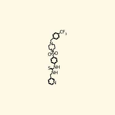 O=S(=O)(c1ccc(NC(=S)NCc2cccnc2)cc1)N1CCN(Cc2ccc(C(F)(F)F)cc2)CC1